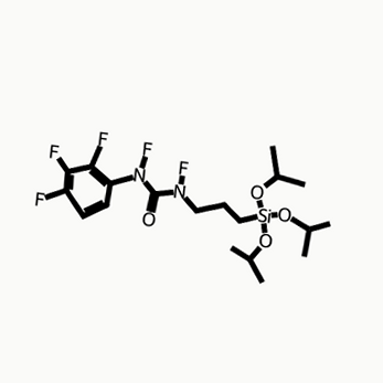 CC(C)O[Si](CCCN(F)C(=O)N(F)c1ccc(F)c(F)c1F)(OC(C)C)OC(C)C